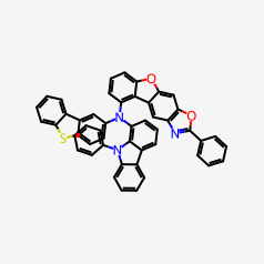 c1ccc(-c2nc3cc4c(cc3o2)oc2cccc(N(c3ccc5sc6ccccc6c5c3)c3cccc5c6ccccc6n(-c6ccccc6)c35)c24)cc1